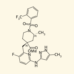 COC(=O)[C@]1(Cc2nc(Nc3cc(C)[nH]n3)ccc2F)CCN(S(=O)(=O)c2ccccc2C(F)(F)F)[C@H](C)C1